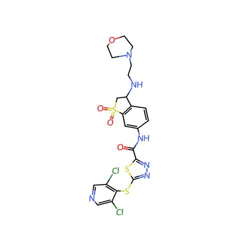 O=C(Nc1ccc2c(c1)S(=O)(=O)CC2NCCN1CCOCC1)c1nnc(Sc2c(Cl)cncc2Cl)s1